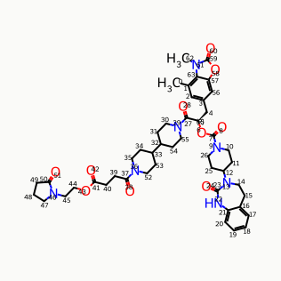 Cc1cc(C[C@@H](OC(=O)N2CCC(N3CCc4ccccc4NC3=O)CC2)C(=O)N2CCC(C3CCN(C(=O)CCC(=O)OCCN4CCCC4=O)CC3)CC2)cc2oc(=O)n(C)c12